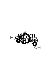 Cc1cccc(C)c1-n1nnc(-c2cnc(CC(C)(C)c3cc(CN4CCOCC4)cc(N[C@H]4CC[C@H](O)CC4)n3)s2)n1